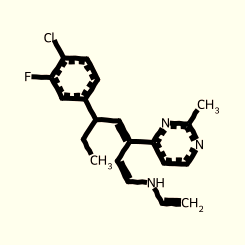 C=CN/C=C\C(=C/C(CC)c1ccc(Cl)c(F)c1)c1ccnc(C)n1